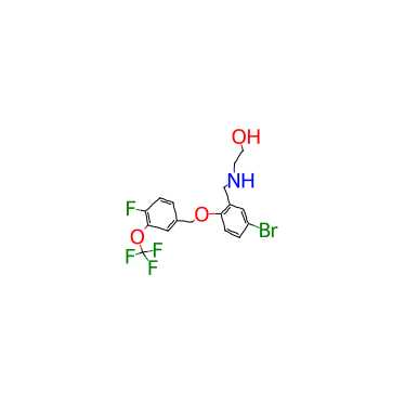 OCCNCc1cc(Br)ccc1OCc1ccc(F)c(OC(F)(F)F)c1